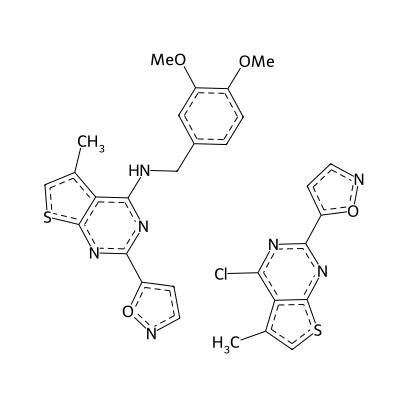 COc1ccc(CNc2nc(-c3ccno3)nc3scc(C)c23)cc1OC.Cc1csc2nc(-c3ccno3)nc(Cl)c12